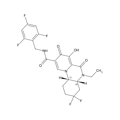 CCN1C(=O)c2c(O)c(=O)c(C(=O)NCc3c(F)cc(F)cc3F)cn2[C@H]2CCC(F)(F)C[C@H]21